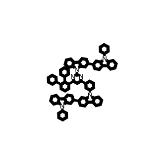 c1ccc(-c2cccc(-c3cc(-c4cccc(-n5c6ccccc6c6ccc(-c7ccc8c9ccccc9n(-c9ccccc9)c8c7)cc65)c4)nc(-n4c5ccccc5c5ccc(-c6ccc7c8ccccc8n(-c8ccccc8)c7c6)cc54)n3)c2-c2ccccc2)cc1